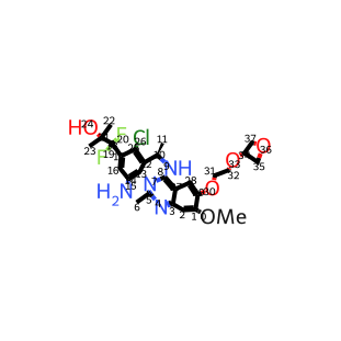 COc1cc2nc(C)nc(N[C@H](C)c3cc(N)cc(C(F)(F)C(C)(C)O)c3Cl)c2cc1OCCOC1COC1